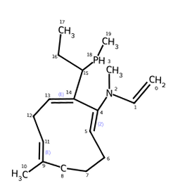 C=CN(C)C1=C\CCC/C(C)=C/C/C=C\1C(CC)PC